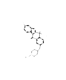 CC(C)N1CCC(Cc2ccc3c(c2)C(=O)c2c([nH]c4cc(N)ccc24)C3(C)C)CC1